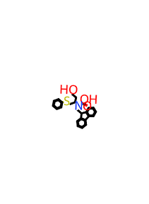 O=C(O)N(CC1c2ccccc2-c2ccccc21)C(CCO)CSc1ccccc1